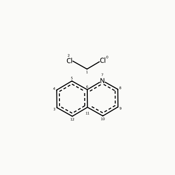 ClCCl.c1ccc2ncccc2c1